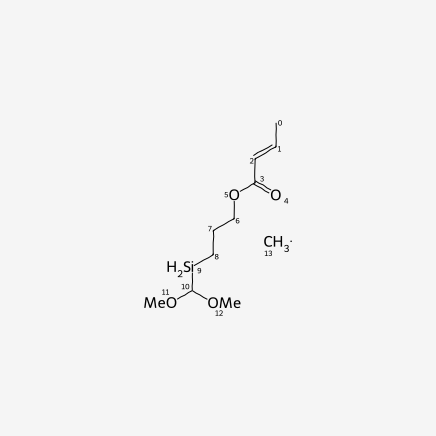 CC=CC(=O)OCCC[SiH2]C(OC)OC.[CH3]